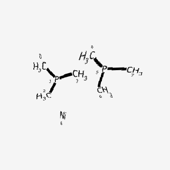 CP(C)C.CP(C)C.[Ni]